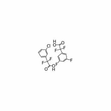 O=C(O)C(F)(F)c1cc(F)cc(F)c1.O=C(O)C(F)(F)c1cccc(Cl)c1